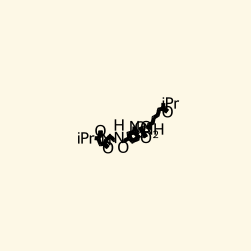 CC(C)C(=O)CCCCCNS(=O)(=O)c1ccc(C(=O)NCCN2C(=O)CC(C(C)C)C2=O)cc1[N+](=O)[O-]